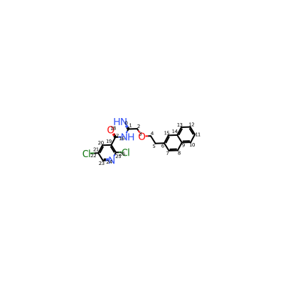 N=C(COCCc1ccc2ccccc2c1)NC(=O)c1cc(Cl)cnc1Cl